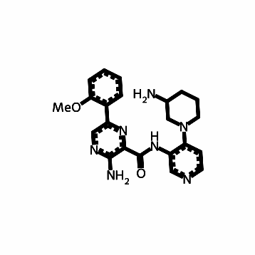 COc1ccccc1-c1cnc(N)c(C(=O)Nc2cnccc2N2CCCC(N)C2)n1